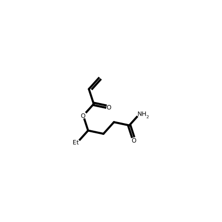 C=CC(=O)OC(CC)CCC(N)=O